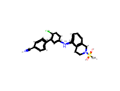 CS(=O)(=O)N1CCc2c(cccc2Nc2ccc(Cl)c(-c3ccc(C#N)cc3)c2)C1